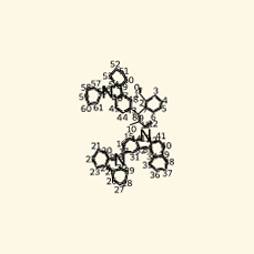 C=Cc1ccccc1/C(=C(/C)C(=C)n1c2ccc(-n3c4ccccc4c4ccccc43)cc2c2c3ccccc3ccc21)c1ccc2c(c1)c1ccccc1n2-c1ccccc1